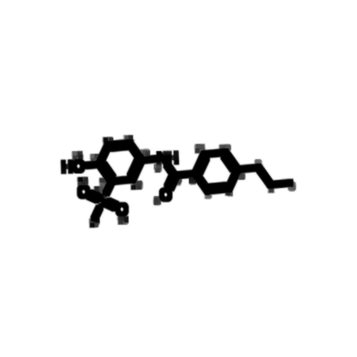 CCCc1ccc(C(=O)Nc2ccc(O)c(S(C)(=O)=O)c2)cc1